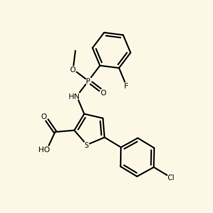 COP(=O)(Nc1cc(-c2ccc(Cl)cc2)sc1C(=O)O)c1ccccc1F